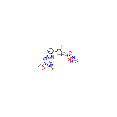 C=CC(=O)Nc1cn(C(C)C)nc1-c1nc2c(-c3ccc(CNC(=O)c4nc(C(C)(C)C)no4)c(F)c3)ccnc2[nH]1